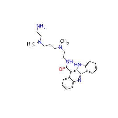 CN(CCN)CCCN(C)CCNC(=O)c1c2ccccc2nc2c1[nH]c1ccccc12